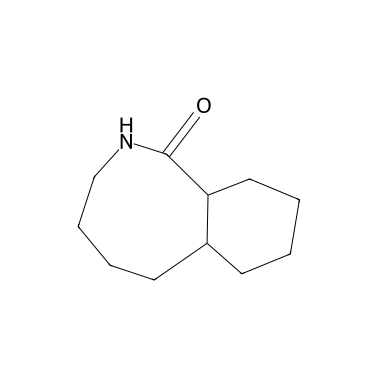 O=C1NCCCCC2CCCCC12